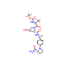 C[C@H](NC(=O)[C@@H]1C[C@@H](O)CN1C(=O)[C@@H](NC(=O)OC(C)(C)C)C(C)(C)C)c1ccc(N2CCC[C@H]2C(N)=O)cc1